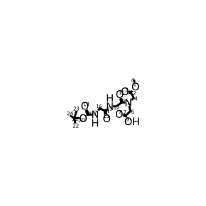 COC(=O)CN(CC(=O)O)C(=O)CNC(=O)CNC(=O)OC(C)(C)C